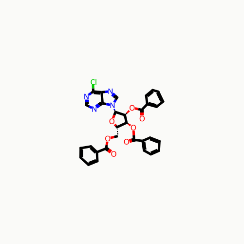 O=C(OC[C@@H]1O[C@H](n2cnc3c(Cl)ncnc32)[C@@H](OC(=O)c2ccccc2)[C@H]1OC(=O)c1ccccc1)c1ccccc1